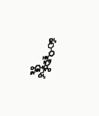 C=CCn1c(=O)c2cnc(Nc3cccc(C4CCN(C)CC4)c3)nc2n1-c1ccc(=O)n(C(C)C)n1